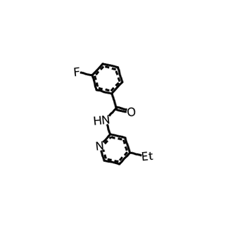 CCc1ccnc(NC(=O)c2cccc(F)c2)c1